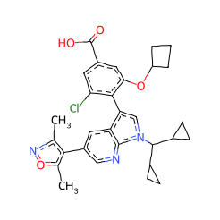 Cc1noc(C)c1-c1cnc2c(c1)c(-c1c(Cl)cc(C(=O)O)cc1OC1CCC1)cn2C(C1CC1)C1CC1